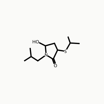 CC(C)CN1C(=O)C(SC(C)C)CC1O